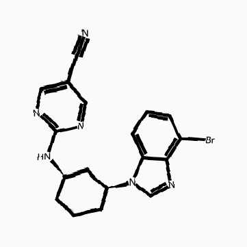 N#Cc1cnc(N[C@@H]2CCC[C@H](n3cnc4c(Br)cccc43)C2)nc1